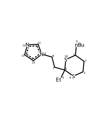 CCCCC1CCSC(CC)(CCn2ccnc2)S1